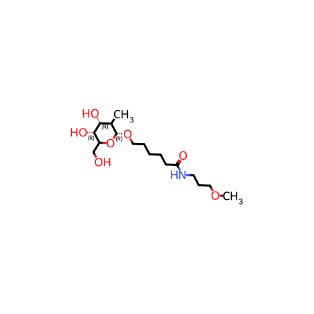 COCCCNC(=O)CCCCCO[C@@H]1OC(CO)[C@H](O)[C@H](O)C1C